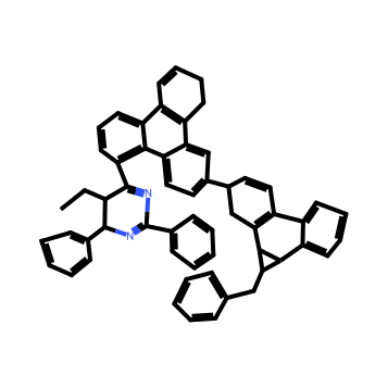 CCC1C(c2cccc3c4c(c5cc(C6C=CC7=C(C6)C6C(Cc8ccccc8)C6c6ccccc67)ccc5c23)CCC=C4)=NC(c2ccccc2)=NC1c1ccccc1